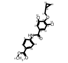 COC(=O)c1ccc(NC(=O)c2cc(Cl)c(OCC3CC3)c(Cl)c2)cc1